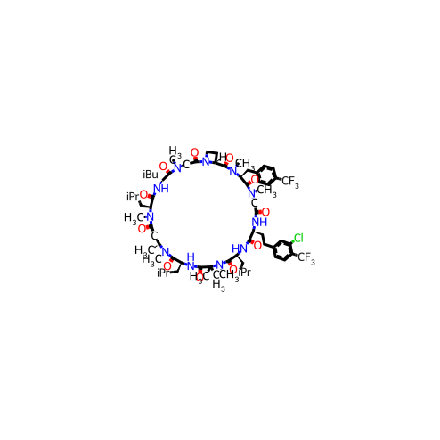 CC[C@H](C)[C@@H]1NC(=O)[C@H](CC(C)C)N(C)C(=O)C[C@@H](C)N(C)C(=O)[C@H](CC(C)C)NC(=O)C(C)(C)N(C)C(=O)[C@H](CC(C)C)NC(=O)[C@H](CCc2ccc(C(F)(F)F)c(Cl)c2)NC(=O)CN(C)C(=O)[C@H](Cc2ccc(C(F)(F)F)cc2)N(C)C(=O)[C@@H]2CCN2C(=O)CN(C)C1=O